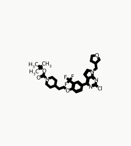 CC(C)(C)OC(=O)N1CCC(CCOc2ccc(-c3nc(Cl)nc4c3ccn4CC3CCOC3)cc2C(F)(F)F)CC1